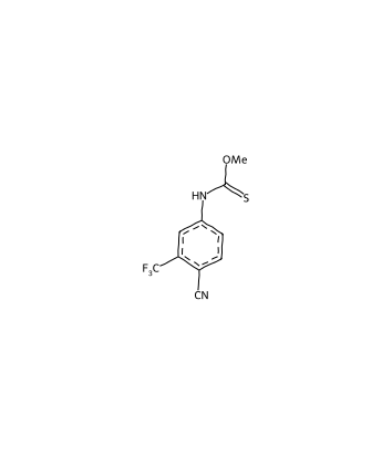 COC(=S)Nc1ccc(C#N)c(C(F)(F)F)c1